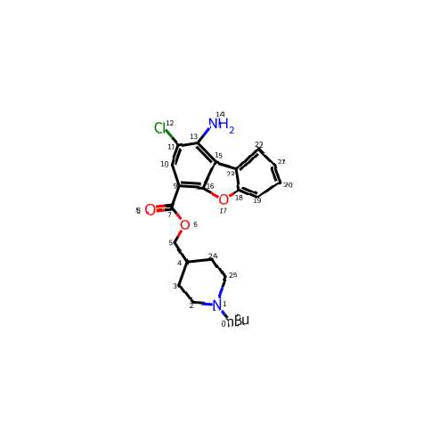 CCCCN1CCC(COC(=O)c2cc(Cl)c(N)c3c2oc2ccccc23)CC1